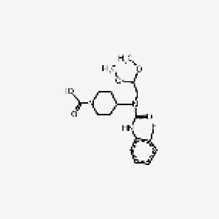 COC(CN(C(=O)Nc1ccccc1F)C1CCN(C(=O)O)CC1)OC